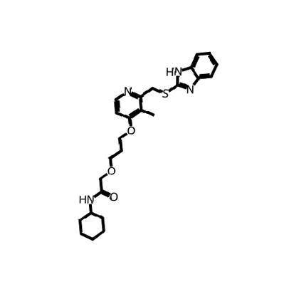 Cc1c(OCCCOCC(=O)NC2CCCCC2)ccnc1CSc1nc2ccccc2[nH]1